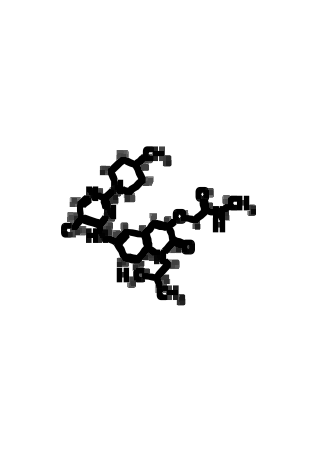 CNC(=O)COc1cc2cc(Nc3nc(N4CCC(C)CC4)ncc3Cl)ccc2n(CC(C)C)c1=O